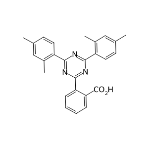 Cc1ccc(-c2nc(-c3ccc(C)cc3C)nc(-c3ccccc3C(=O)O)n2)c(C)c1